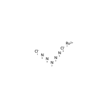 [Cl-].[Cl-].[N].[N].[N].[N].[N].[Ru+2]